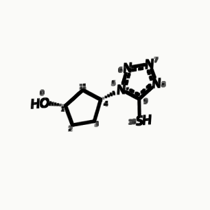 O[C@H]1CC[C@@H](n2nnnc2S)C1